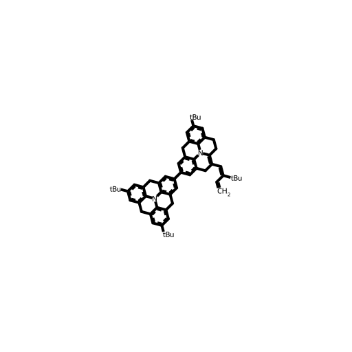 C=C/C(=C\C1=C2CCc3cc(C(C)(C)C)cc4c3N2c2c(cc(-c3cc5c6c(c3)Cc3cc(C(C)(C)C)cc7c3N6c3c(cc(C(C)(C)C)cc3C7)C5)cc2C4)C1)C(C)(C)C